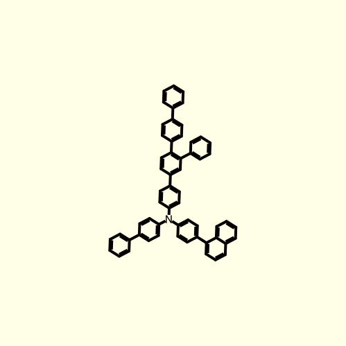 c1ccc(-c2ccc(-c3ccc(-c4ccc(N(c5ccc(-c6ccccc6)cc5)c5ccc(-c6cccc7ccccc67)cc5)cc4)cc3-c3ccccc3)cc2)cc1